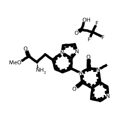 COC(=O)[C@@H](N)Cc1ccc(-n2c(=O)c3ccncc3n(C)c2=O)c2nccn12.O=C(O)C(F)(F)F